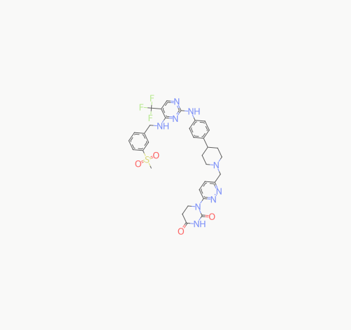 CS(=O)(=O)c1cccc(CNc2nc(Nc3ccc(C4CCN(Cc5ccc(N6CCC(=O)NC6=O)nn5)CC4)cc3)ncc2C(F)(F)F)c1